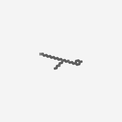 CCCOCCN(CCCCCCCCCCO)CCOCCCC1CCC(C)CC1